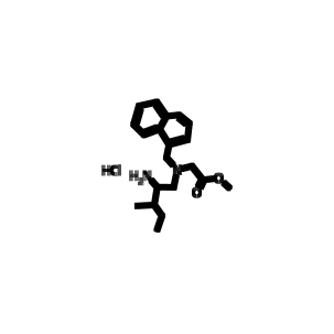 CCC(C)C(N)CN(CC(=O)OC)Cc1cccc2ccccc12.Cl